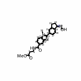 COC(=O)CCNC(=O)c1ccc2c(c1)nc(-c1ccc3c(c1)CC/C3=N/O)n2C